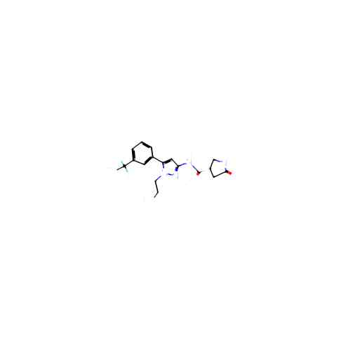 CCC(F)(F)c1cccc(-c2cc(NC(=O)[C@H]3CNC(=O)C3)nn2CCC(C)(C)C)c1